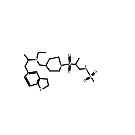 CCN(CC1CCN(S(=O)(=O)C(C)CNS(C)(=O)=O)CC1)C(C)Cc1ccc2c(c1)CCO2